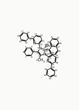 CC1=C(c2ccccc2)N(c2cccc(-c3ccccc3)n2)[Si](c2cccc3ccccc23)(C(C)(C)C)N1c1cccc(-c2ccccc2)n1